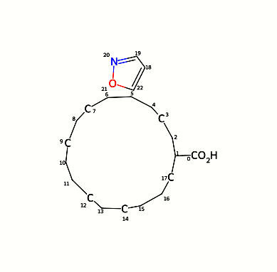 O=C(O)C1CCCCCCCCCCCCCCCC1.c1cnoc1